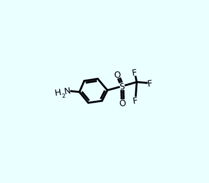 Nc1ccc(S(=O)(=O)C(F)(F)F)cc1